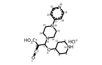 Cl.O=C=C(C(=O)O)C(OC1CCNCC1)N1CCN(c2ccncc2)CC1